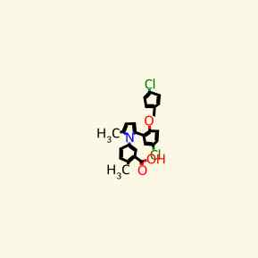 Cc1ccc(-n2c(C)ccc2-c2cc(Cl)ccc2OCc2ccc(Cl)cc2)cc1C(=O)O